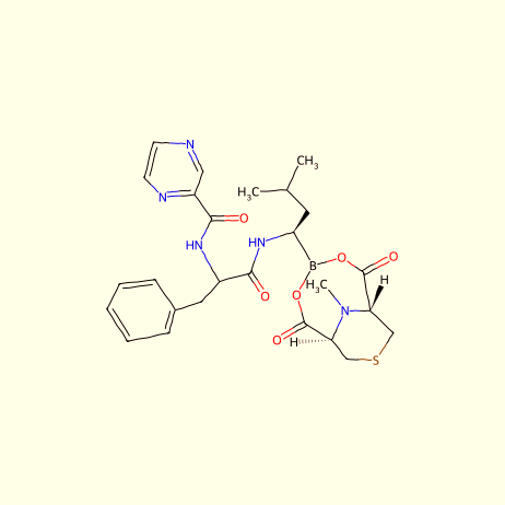 CC(C)C[C@H](NC(=O)C(Cc1ccccc1)NC(=O)c1cnccn1)B1OC(=O)[C@@H]2CSC[C@@H](C(=O)O1)N2C